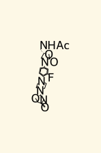 CC(=O)NC[C@H]1CN(c2ccc(N3CCN(C4=NC(=O)CO4)CC3)c(F)c2)C(=O)O1